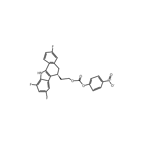 O=C(OCC[C@@H]1Cc2cc(F)ccc2-c2[nH]c3c(F)cc(F)cc3c21)Oc1ccc([N+](=O)[O-])cc1